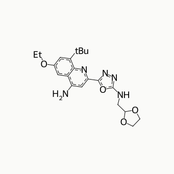 CCOc1cc(C(C)(C)C)c2nc(-c3nnc(NCC4OCCO4)o3)cc(N)c2c1